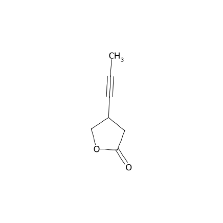 CC#CC1COC(=O)C1